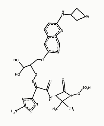 CC1(C)[C@H](NC(=O)/C(=N\OC(COc2ccc3nc(NC4CNC4)ccc3c2)C(O)O)c2nsc(N)n2)C(=O)N1OS(=O)(=O)O